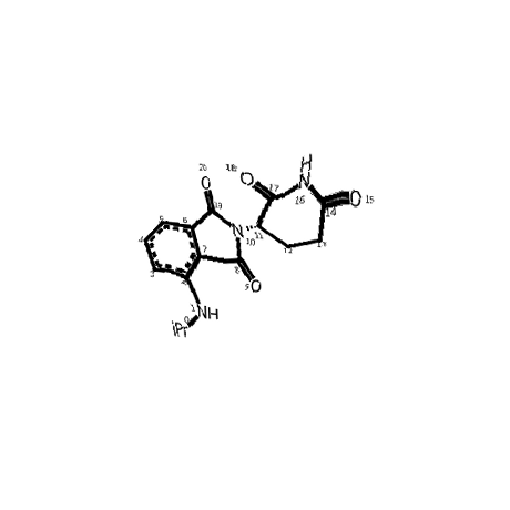 CC(C)Nc1cccc2c1C(=O)N([C@H]1CCC(=O)NC1=O)C2=O